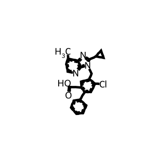 Cc1ccnc2c1nc(C1CC1)n2Cc1cc(C(=O)O)c(-c2ccccc2)cc1Cl